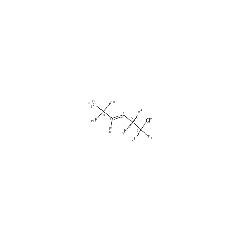 FC(=CC(F)(F)C(F)(F)Cl)C(F)(F)C(F)(F)F